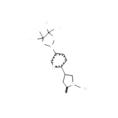 CN1CC(c2ccc(B3OC(C)(C)C(C)(C)O3)cn2)CC1=O